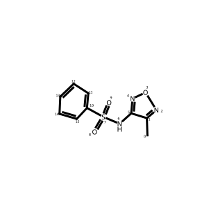 Cc1nonc1NS(=O)(=O)c1ccccc1